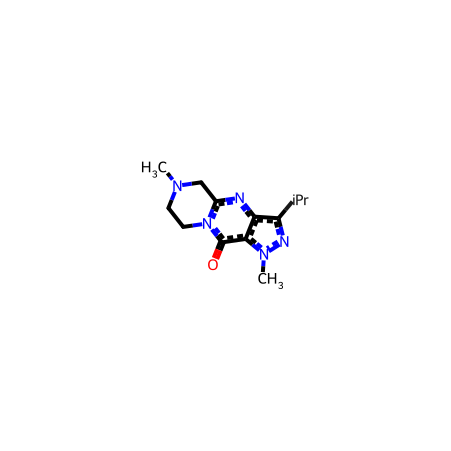 CC(C)c1nn(C)c2c(=O)n3c(nc12)CN(C)CC3